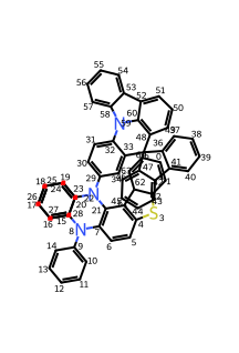 C1=CC2Sc3ccc(N(c4ccccc4)c4ccccc4)c(N(c4ccccc4)c4ccc5c(c4)C4(c6ccccc6-c6ccccc64)c4cccc6c7ccccc7n-5c46)c3C2C=C1